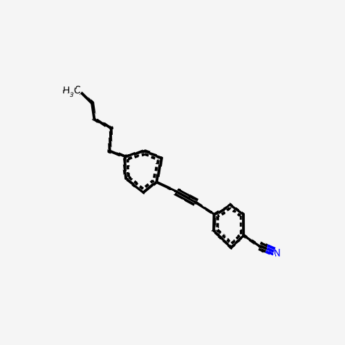 CCCCCc1ccc(C#Cc2ccc(C#N)cc2)cc1